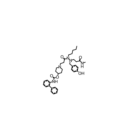 CCCCCN(C(=O)CCN1CCC(OC(=O)Nc2ccccc2-c2ccccc2)CC1)N(CCC(=O)NC)Cc1ccc(O)cc1